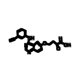 C#Cc1cccc(Nc2ncnc3ccc(OCCC(=O)NO)cc23)c1